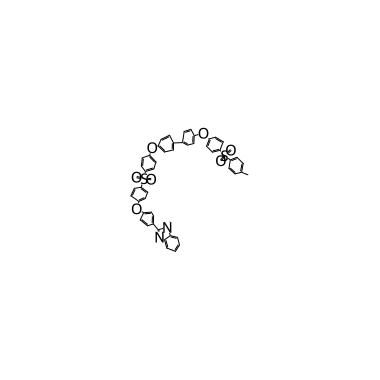 Cc1ccc(S(=O)(=O)c2ccc(Oc3ccc(-c4ccc(Oc5ccc(S(=O)(=O)c6ccc(Oc7ccc(-c8nc9ccccc9n8C)cc7)cc6)cc5)cc4)cc3)cc2)cc1